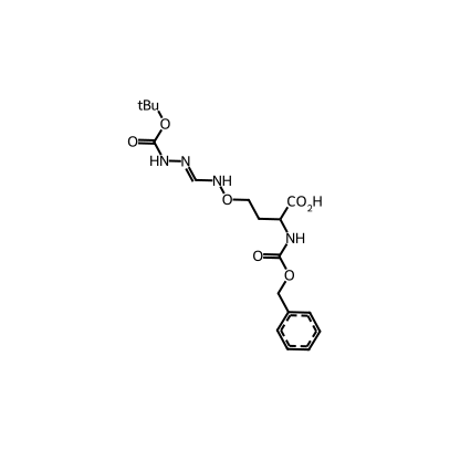 CC(C)(C)OC(=O)NN=CNOCCC(NC(=O)OCc1ccccc1)C(=O)O